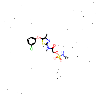 CCNS(=O)(=O)OCC(=O)N(C)c1nc(C)c(Oc2cccc(Cl)c2)s1